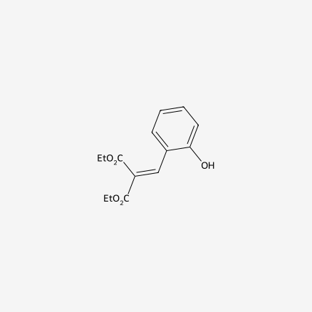 CCOC(=O)C(=Cc1ccccc1O)C(=O)OCC